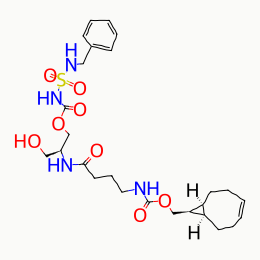 O=C(CCCNC(=O)OC[C@@H]1[C@@H]2CC/C=C\CC[C@@H]21)N[C@@H](CO)COC(=O)NS(=O)(=O)NCc1ccccc1